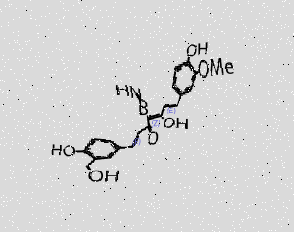 COc1cc(/C=C/C(O)=C(\B=N)C(=O)/C=C/c2ccc(O)c(CO)c2)ccc1O